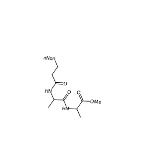 CCCCCCCCCCCC(=O)NC(C)C(=O)NC(C)C(=O)OC